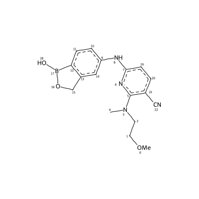 COCCN(C)c1nc(Nc2ccc3c(c2)COB3O)ccc1C#N